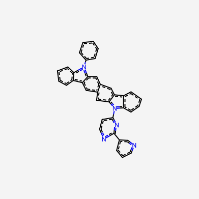 c1ccc(-n2c3ccccc3c3cc4cc5c(cc4cc32)c2ccccc2n5-c2ccnc(-c3cccnc3)n2)cc1